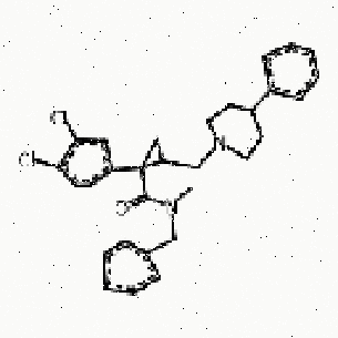 CN(Cc1ccccc1)C(=O)C1(c2ccc(Cl)c(Cl)c2)CC1CN1CCC(c2ccccc2)CC1